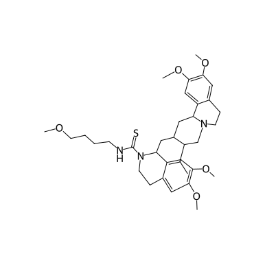 CCC1CN2CCc3cc(OC)c(OC)cc3C2CC1CC1c2cc(OC)c(OC)cc2CCN1C(=S)NCCCCOC